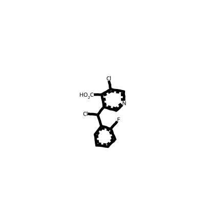 O=C(O)c1c(Cl)cncc1C(Cl)c1ccccc1F